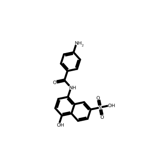 Nc1ccc(C(=O)Nc2ccc(O)c3ccc(S(=O)(=O)O)cc23)cc1